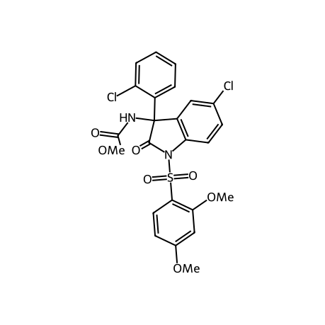 COC(=O)NC1(c2ccccc2Cl)C(=O)N(S(=O)(=O)c2ccc(OC)cc2OC)c2ccc(Cl)cc21